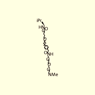 CNCCOCCOCCOCCNC(=O)Cc1ccc(SSCOCCCCOC(=O)NCC#CC(C)C)cc1